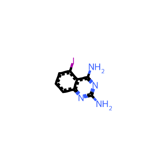 Nc1nc(N)c2c(I)cccc2n1